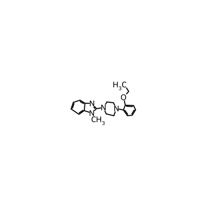 CCOc1ccccc1N1CCN(c2nc3ccccc3n2C)CC1